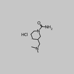 CN(C)CC1[CH]CCN(C(N)=O)C1.Cl